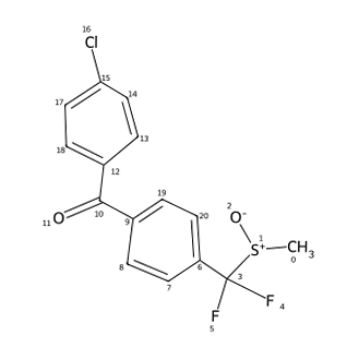 C[S+]([O-])C(F)(F)c1ccc(C(=O)c2ccc(Cl)cc2)cc1